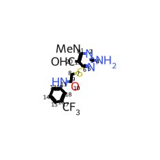 CNc1nc(N)nc(SCC(=O)Nc2cccc(C(F)(F)F)c2)c1C=O